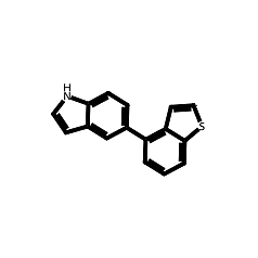 [c]1cc2c(-c3ccc4[nH]ccc4c3)cccc2s1